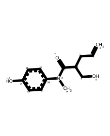 C=CCC(CO)C(=O)N(C)c1ccc(O)cc1